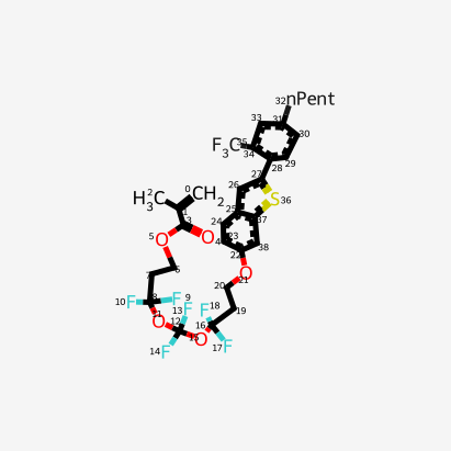 C=C(C)C(=O)OCCC(F)(F)OC(F)(F)OC(F)(F)CCOc1ccc2cc(-c3ccc(CCCCC)cc3C(F)(F)F)sc2c1